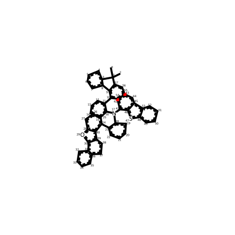 CC1(C)c2ccccc2-c2c(-c3ccccc3N(c3ccccc3-c3cccc4oc5c6ccccc6ccc5c34)c3cccc4c3sc3ccccc34)cccc21